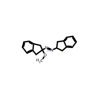 COC1(/N=N/C2Cc3ccccc3C2)Cc2ccccc2C1